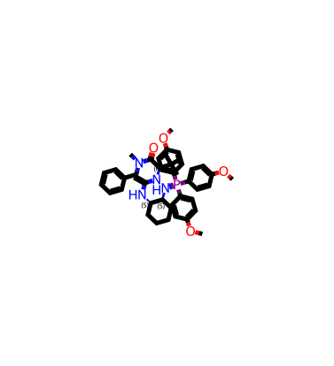 C=C(N[C@H]1CCCC[C@@H]1N=P(c1ccc(OC)cc1)(c1ccc(OC)cc1)c1ccc(OC)cc1)N[C@@H](C(=O)N(C)Cc1ccccc1)C(C)(C)C